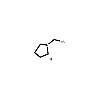 CCCCCN1CCCC1.F